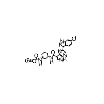 Cn1nc(-c2cnc3[nH]cc(C(=O)NC4CCC[C@H](NC(=O)OC(C)(C)C)C4)c3n2)c2ccc(Cl)cc21